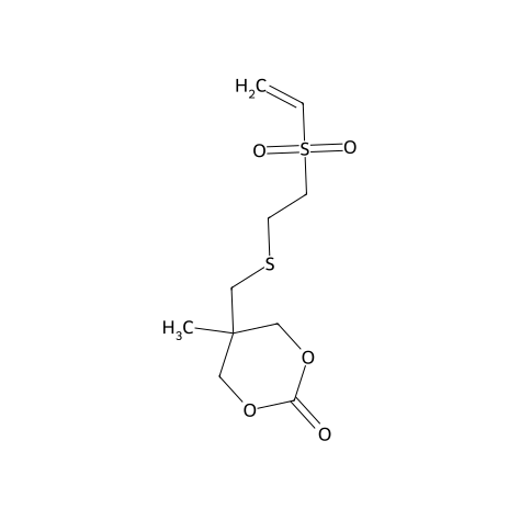 C=CS(=O)(=O)CCSCC1(C)COC(=O)OC1